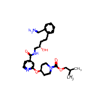 CC(C)COC(=O)N1CCC(Oc2cc(C(=O)NC[C@@H](O)CCc3ccccc3CN)ccn2)CC1